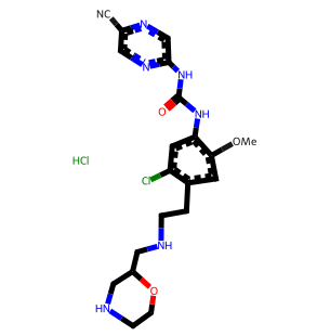 COc1cc(CCNCC2CNCCO2)c(Cl)cc1NC(=O)Nc1cnc(C#N)cn1.Cl